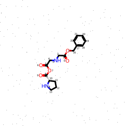 O=C(CNCC(=O)OC(=O)[C@@H]1CCCN1)OCc1ccccc1